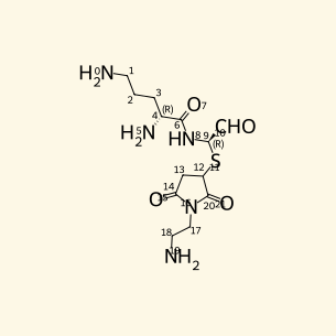 NCCC[C@@H](N)C(=O)N[C@@H](C=O)SC1CC(=O)N(CCN)C1=O